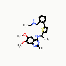 CCNCc1ccccc1-c1ccc(C(C)Nc2nc(C)nc3cc(OC)c(OC)cc23)s1